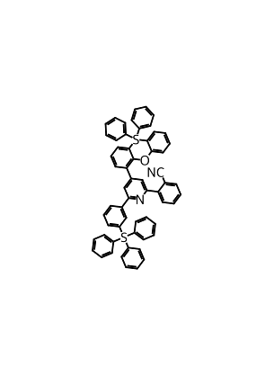 N#Cc1ccccc1-c1cc(-c2cccc3c2Oc2ccccc2S3(c2ccccc2)c2ccccc2)cc(-c2cccc(S(c3ccccc3)(c3ccccc3)c3ccccc3)c2)n1